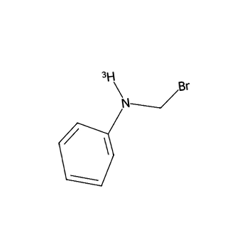 [3H]N(CBr)c1ccccc1